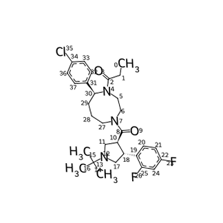 CCC(=O)N1CCN(C(=O)[C@@H]2CN(C(C)(C)C)C[C@H]2c2ccc(F)cc2F)CCC[C@H]1c1ccc(Cl)cc1